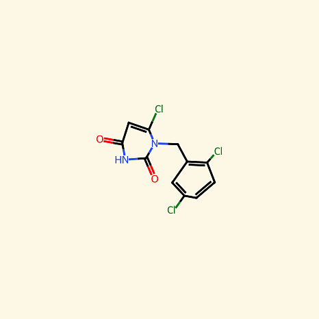 O=c1cc(Cl)n(Cc2cc(Cl)ccc2Cl)c(=O)[nH]1